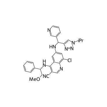 COCC(Nc1c(C#N)cnc2c(Cl)cc(NC(c3cccnc3)c3cn(C(C)C)nn3)cc12)c1ccccc1